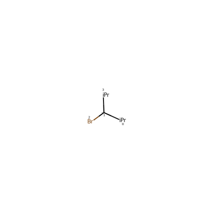 CC(C)[C](Br)C(C)C